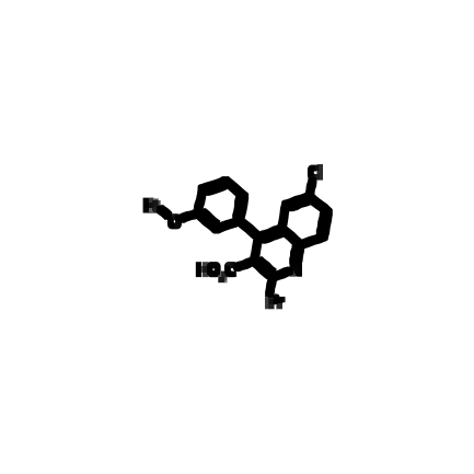 CCOc1cccc(-c2c(C(=O)O)c(C(C)C)nc3ccc(Cl)cc23)c1